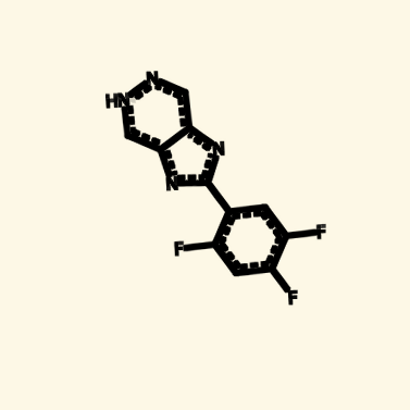 Fc1cc(F)c(-c2nc3cn[nH]cc-3n2)cc1F